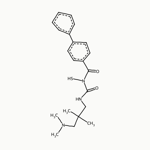 CN(C)CC(C)(C)CNC(=O)N(S)C(=O)c1ccc(-c2ccccc2)cc1